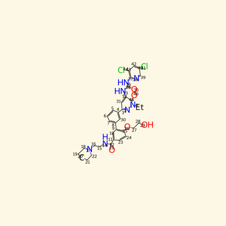 CCn1nc(-c2cccc(-c3cc(C(=O)NCCN4CCCCC4)ccc3OCCO)c2)cc(NC(=O)Nc2ncc(Cl)cc2Cl)c1=O